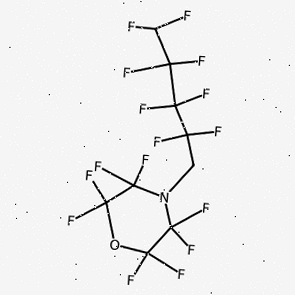 FC(F)C(F)(F)C(F)(F)C(F)(F)CN1C(F)(F)C(F)(F)OC(F)(F)C1(F)F